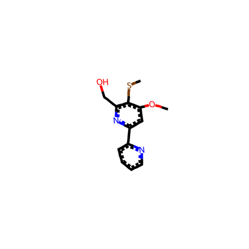 COc1cc(-c2ccccn2)nc(CO)c1SC